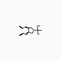 C=C/C=C1/CN(C(C)(CC)CCC)C/C1=C/C=C